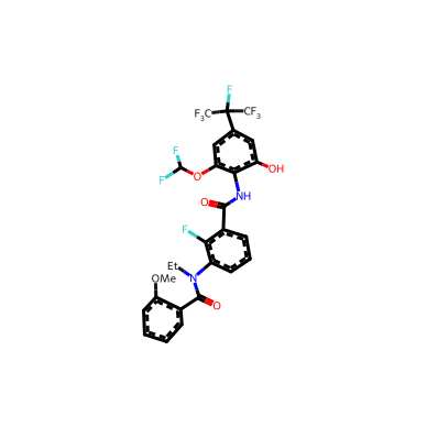 CCN(C(=O)c1ccccc1OC)c1cccc(C(=O)Nc2c(O)cc(C(F)(C(F)(F)F)C(F)(F)F)cc2OC(F)F)c1F